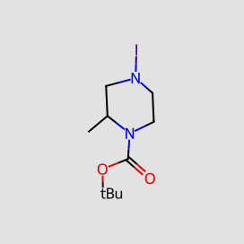 CC1CN(I)CCN1C(=O)OC(C)(C)C